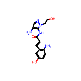 Nc1ccc(O)cc1C=CC(=O)Nc1c(N)cnn1CCO